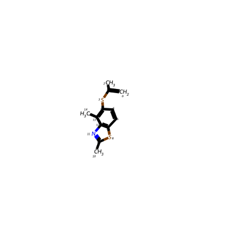 C=C(C)Sc1ccc2sc(C)nc2c1C